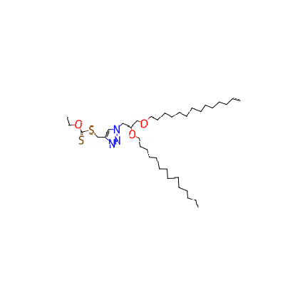 CCCCCCCCCCCCCCOCC(Cn1cc(CSC(=S)OCC)nn1)OCCCCCCCCCCCCCC